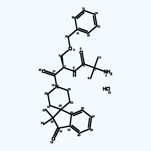 CC(C)(N)C(=O)N[C@H](COCc1ccccc1)C(=O)N1CCC2(CC1)c1ccccc1C(=O)C2(C)C.Cl